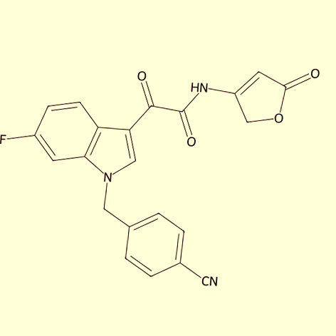 N#Cc1ccc(Cn2cc(C(=O)C(=O)NC3=CC(=O)OC3)c3ccc(F)cc32)cc1